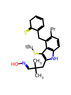 CC(C)c1ccc2[nH]c(CC(C)(C)C=NO)c(SC(C)(C)C)c2c1CC1=CC=CCC1=S